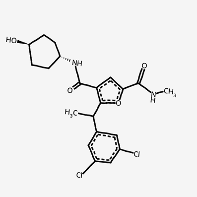 CNC(=O)c1cc(C(=O)N[C@H]2CC[C@H](O)CC2)c(C(C)c2cc(Cl)cc(Cl)c2)o1